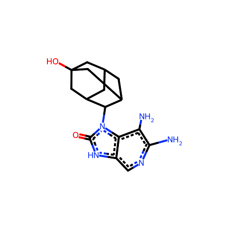 Nc1ncc2[nH]c(=O)n(C3C4CC5CC3CC(O)(C5)C4)c2c1N